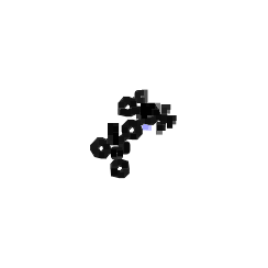 N=C(/C=C(\Nc1ccccc1Cl)c1ccc(C(=O)Nc2ccccc2Oc2ccccc2)cc1)C(F)(F)F